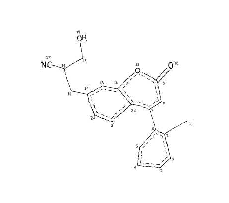 Cc1ccccc1-c1cc(=O)oc2cc(CC(C#N)CO)ccc12